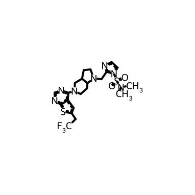 CN(C)S(=O)(=O)n1ccnc1CN1CCC2CN(c3ncnc4sc(CC(F)(F)F)cc34)CCC21